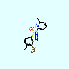 Cc1cccc(N[S+]([O-])c2ccc(C)c(Br)c2)n1